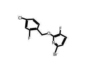 Fc1cc(Cl)ccc1COc1nc(Br)ccc1F